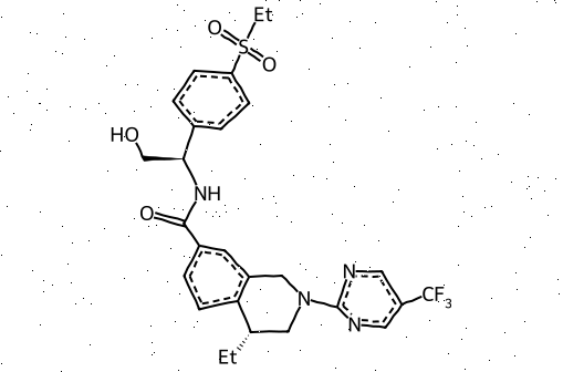 CC[C@H]1CN(c2ncc(C(F)(F)F)cn2)Cc2cc(C(=O)N[C@@H](CO)c3ccc(S(=O)(=O)CC)cc3)ccc21